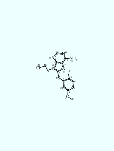 COc1ccc(I)c(Sc2nc3c(N)ncnc3n2CCCl)c1